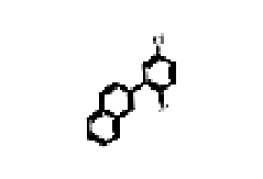 Clc1ccc(Br)c(-c2ccc3ccccc3c2)c1